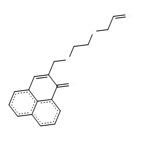 C=CCOCCOCC1=Cc2cccc3cccc(c23)C1=O